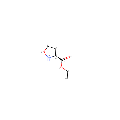 CCOC(=O)[C@@H]1CCON1